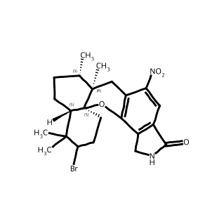 C[C@H]1CC[C@H]2C(C)(C)C(Br)CC[C@]23Oc2c4c(cc([N+](=O)[O-])c2C[C@]13C)C(=O)NC4